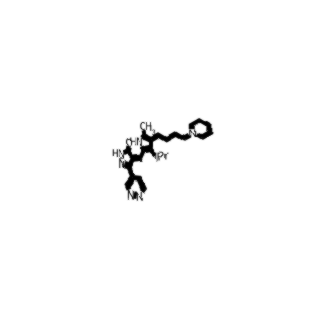 Cc1[nH]c(C=C2C(=O)NN=C2c2ccnnc2)c(C(C)C)c1CCCCN1CCCCC1